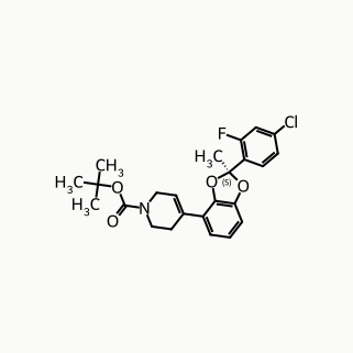 CC(C)(C)OC(=O)N1CC=C(c2cccc3c2O[C@@](C)(c2ccc(Cl)cc2F)O3)CC1